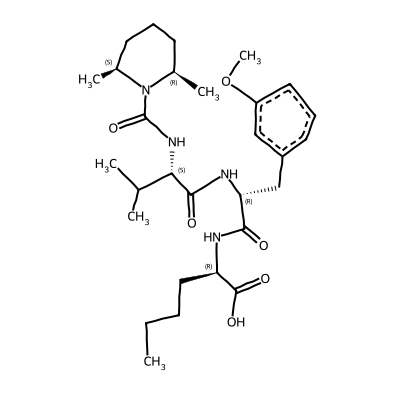 CCCC[C@@H](NC(=O)[C@@H](Cc1cccc(OC)c1)NC(=O)[C@@H](NC(=O)N1[C@H](C)CCC[C@@H]1C)C(C)C)C(=O)O